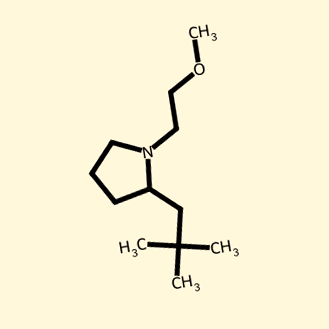 COCCN1CCCC1CC(C)(C)C